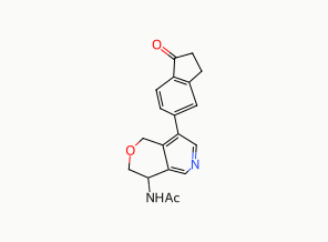 CC(=O)NC1COCc2c(-c3ccc4c(c3)CCC4=O)cncc21